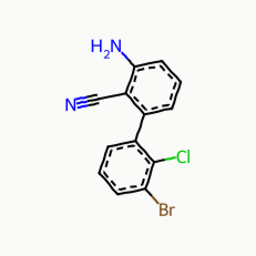 N#Cc1c(N)cccc1-c1cccc(Br)c1Cl